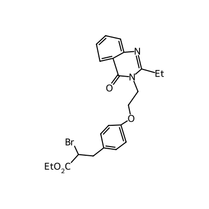 CCOC(=O)C(Br)Cc1ccc(OCCn2c(CC)nc3ccccc3c2=O)cc1